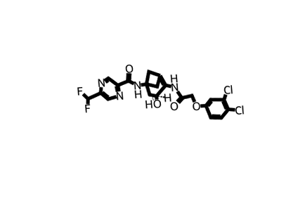 O=C(COc1ccc(Cl)c(Cl)c1)NC1=C2CC(NC(=O)c3cnc(C(F)F)cn3)(C2)C[C@@H]1O